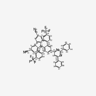 N#Cc1ccc2c(c1)c1cc(C#N)ccc1n2-c1c(-c2ccc(C(F)(F)F)cc2)cc(-c2cc(-c3ccccc3)nc(-c3ccccc3)n2)cc1-c1ccc(C(F)(F)F)cc1